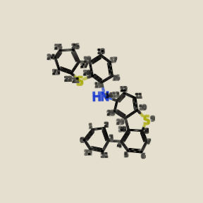 c1ccc(-c2cccc3sc4ccc(Nc5cccc6c5sc5ccccc56)cc4c23)cc1